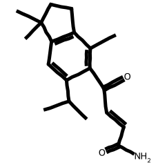 Cc1c2c(cc(C(C)C)c1C(=O)C=CC(N)=O)C(C)(C)CC2